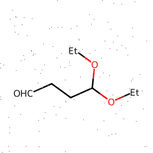 CCOC(CCC=O)OCC